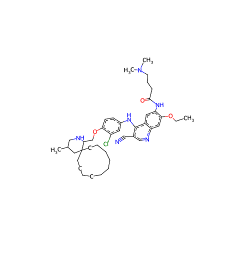 CCOc1cc2ncc(C#N)c(Nc3ccc(OCC4NCC(C)CC45CCCCCCCCCC5)c(Cl)c3)c2cc1NC(=O)CCCN(C)C